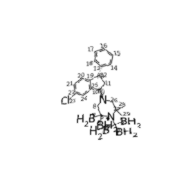 BC(B)(B)N1C(B)(B)CN([C@@H]2C[C@@H](c3ccccc3)c3ccc(Cl)cc32)CC1(C)C